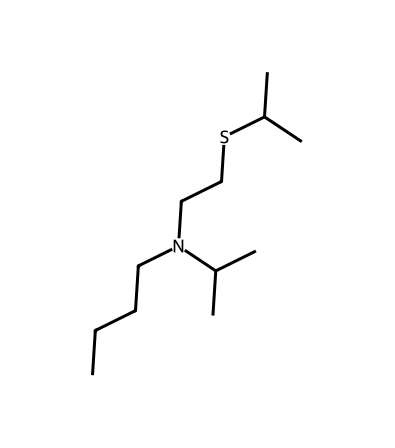 CCCCN(CCSC(C)C)C(C)C